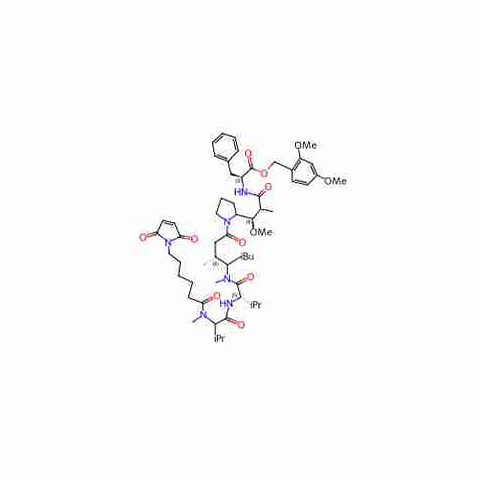 CCC(C)C([C@H](C)CC(=O)N1CCCC1[C@H](OC)C(C)C(=O)N[C@@H](Cc1ccccc1)C(=O)OCc1ccc(OC)cc1OC)N(C)C(=O)[C@@H](NC(=O)C(C(C)C)N(C)C(=O)CCCCCN1C(=O)C=CC1=O)C(C)C